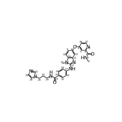 CNC(=O)c1cc(Oc2ccc3c(c2)nc(Nc2ccc(C(=O)NCCCn4ccnc4)cc2)n3C)ccn1